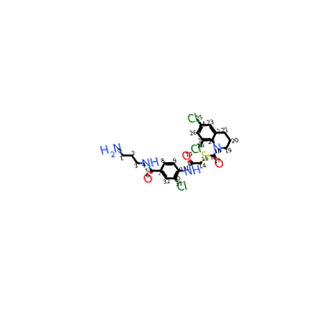 NCCCNC(=O)c1ccc(NC(=O)CSC(=O)N2CCCc3cc(Cl)cc(Cl)c32)c(Cl)c1